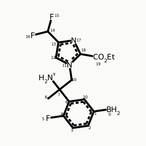 Bc1ccc(F)c(C(C)(N)Cn2cc(C(F)F)nc2C(=O)OCC)c1